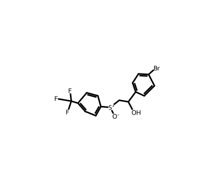 [O-][S+](CC(O)c1ccc(Br)cc1)c1ccc(C(F)(F)F)cc1